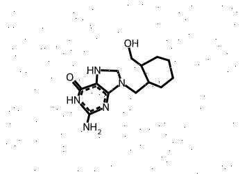 Nc1nc2c(c(=O)[nH]1)NCN2CC1CCCCC1CO